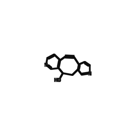 OC1Cc2cnccc2C#Cc2ccncc21